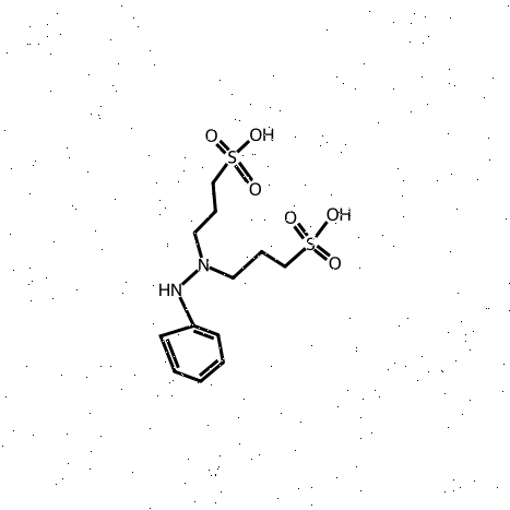 O=S(=O)(O)CCCN(CCCS(=O)(=O)O)Nc1ccccc1